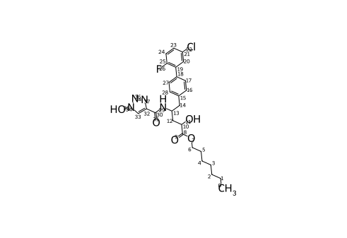 CCCCCCCOC(=O)C(O)CC(Cc1ccc(-c2cc(Cl)ccc2F)cc1)NC(=O)c1cn(O)nn1